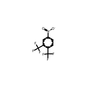 O=[N+]([O-])c1[c]cc(C(F)(F)F)c(C(F)(F)F)c1